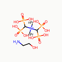 CCC[N+](CCC)(C(P(=O)(O)O)P(=O)(O)O)C(P(=O)(O)O)P(=O)(O)O.NCCO